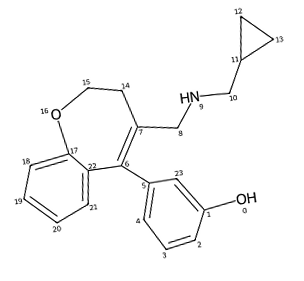 Oc1cccc(C2=C(CNCC3CC3)CCOc3ccccc32)c1